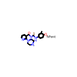 CCCCCOc1ccc(NC(=S)NC(=O)c2cccnc2N2CCN(C)CC2)cc1C